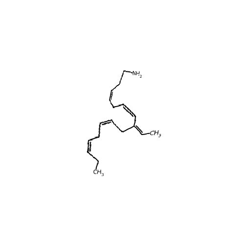 C/C=C(\C=C/C/C=C\CCN)C/C=C\C/C=C\CC